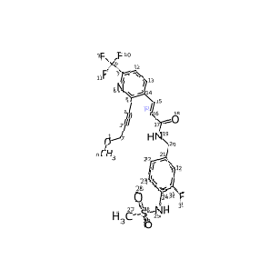 COCC#Cc1nc(C(F)(F)F)ccc1/C=C/C(=O)NCc1ccc(NS(C)(=O)=O)c(F)c1